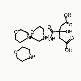 C1COCCN1.C1COCCN1.C1COCCN1.O=C(O)CC(O)(CC(=O)O)C(=O)O